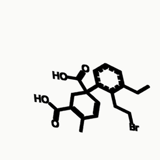 CCc1cccc(C2(C(=O)O)C=CC(C)=C(C(=O)O)C2)c1CCBr